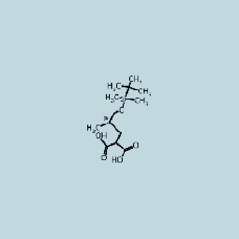 C[C@@H](CO[Si](C)(C)C(C)(C)C)CC(C(=O)O)C(=O)O